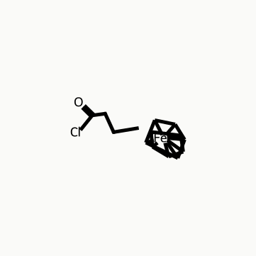 CCCC(=O)Cl.[CH]12[CH]3[CH]4[CH]5[CH]1[Fe]23451678[CH]2[CH]1[CH]6[CH]7[CH]28